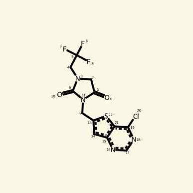 O=C1CN(CC(F)(F)F)C(=O)N1Cc1cc2ncnc(Cl)c2s1